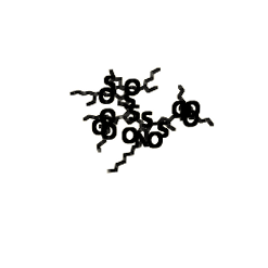 CCCCCCCCN1C(=O)c2c(-c3cc(CCP(=O)(OCCCC)OCCCC)c(C)s3)sc(-c3cc(CCP(=O)(OCCCC)OCCCC)c(-c4cc5c(OCC(CC)CCCC)c6sc(C)cc6c(OCC(CC)CCCC)c5s4)s3)c2C1=O